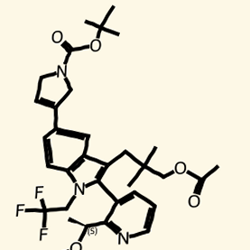 CO[C@@H](C)c1ncccc1-c1c(CC(C)(C)COC(C)=O)c2cc(C3=CCN(C(=O)OC(C)(C)C)C3)ccc2n1CC(F)(F)F